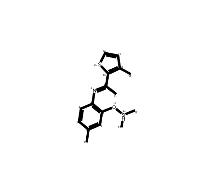 CC(=Nc1ccc(C)cc1O[SiH](C)C)c1sccc1C